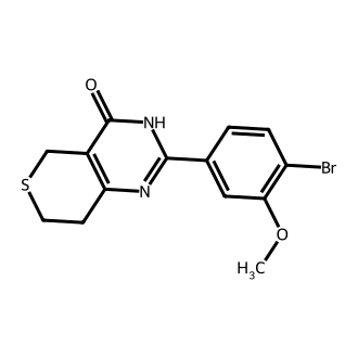 COc1cc(-c2nc3c(c(=O)[nH]2)CSCC3)ccc1Br